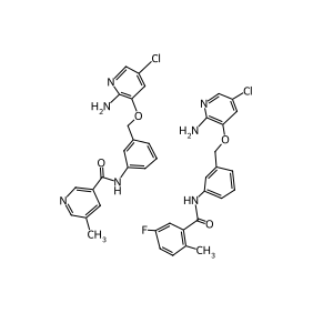 Cc1ccc(F)cc1C(=O)Nc1cccc(COc2cc(Cl)cnc2N)c1.Cc1cncc(C(=O)Nc2cccc(COc3cc(Cl)cnc3N)c2)c1